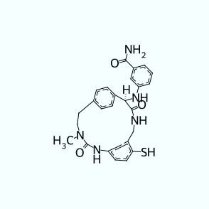 CN1CCc2ccc(cc2)[C@@H](Nc2cccc(C(N)=O)c2)C(=O)NCc2cc(ccc2S)NC1=O